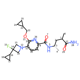 CC(C[C@H](C)NC(=O)c1ccc(N2CC(F)(C3CC3)C2)c(OCC2CC2)n1)C(N)=O